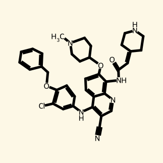 CN1CCC(Oc2ccc3c(Nc4ccc(OCc5ccccc5)c(Cl)c4)c(C#N)cnc3c2NC(=O)C=C2CCNCC2)CC1